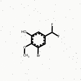 COc1c(O)cc(C(F)F)cc1Br